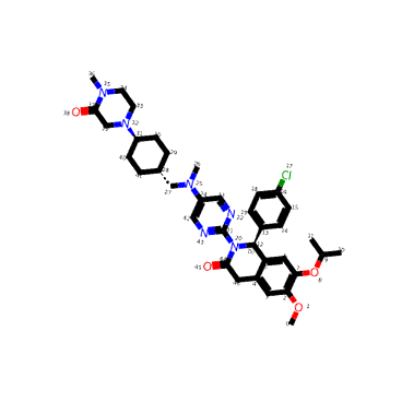 COc1cc2c(cc1OC(C)C)[C@H](c1ccc(Cl)cc1)N(c1ncc(N(C)C[C@H]3CC[C@H](N4CCN(C)C(=O)C4)CC3)cn1)C(=O)C2